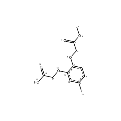 COC(=O)COc1ccc(F)cc1OCC(=O)O